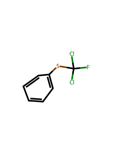 FC(Cl)(Cl)Sc1ccccc1